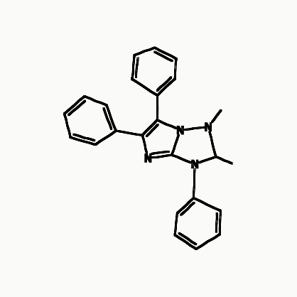 CC1N(c2ccccc2)c2nc(-c3ccccc3)c(-c3ccccc3)n2N1C